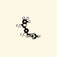 CCc1cnc(NNC(=O)c2ccc(/C(F)=C/C(c3cc(Cl)c(Cl)c(Cl)c3)C(F)(F)F)cc2C(F)(F)F)nc1